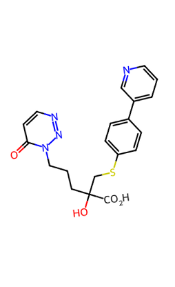 O=C(O)C(O)(CCCn1nnccc1=O)CSc1ccc(-c2cccnc2)cc1